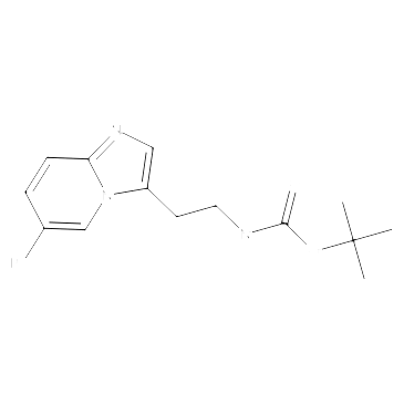 CC(C)(C)OC(=O)NCCc1cnc2ccc(Br)cn12